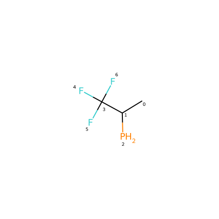 CC(P)C(F)(F)F